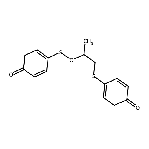 CC(CSC1=CCC(=O)C=C1)OSC1=CCC(=O)C=C1